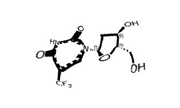 O=c1[nH]c(=O)n([C@@H]2C[C@@H](O)[C@H](CO)O2)cc1C(F)(F)F